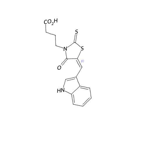 O=C(O)CCCN1C(=O)/C(=C\c2c[nH]c3ccccc23)SC1=S